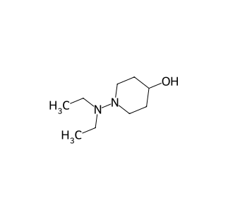 CCN(CC)N1CCC(O)CC1